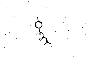 CC(C)=CC(=O)C[C@H](C)C1C=CC(C)=CC1